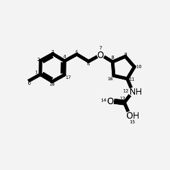 Cc1ccc(CCOC2CCC(NC(=O)O)C2)cc1